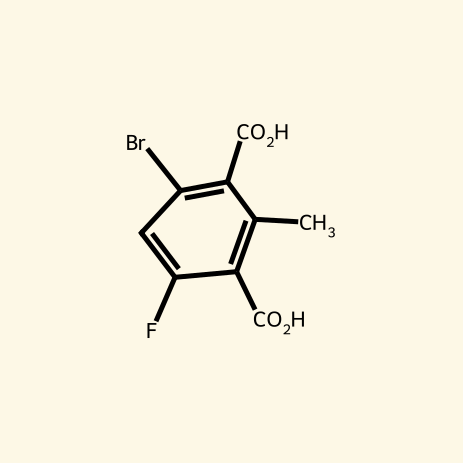 Cc1c(C(=O)O)c(F)cc(Br)c1C(=O)O